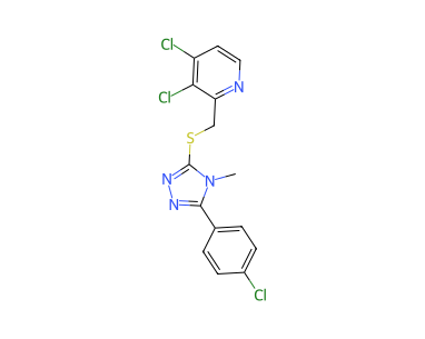 Cn1c(SCc2nccc(Cl)c2Cl)nnc1-c1ccc(Cl)cc1